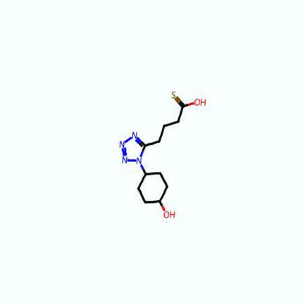 OC(=S)CCCc1nnnn1C1CCC(O)CC1